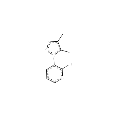 Cc1nnn(-c2cccnc2Cl)c1C